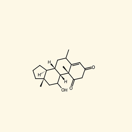 CC1C[C@@H]2[C@@H](C(O)C[C@]3(C)CCC[C@@H]23)[C@@]2(C)C(=O)CC(=O)C=C12